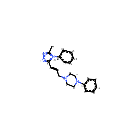 Cc1nnc(C=CCN2CCN(c3ccccc3)CC2)n1-c1ccccc1